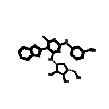 COc1cccc(Nc2nc(C)c(-c3nc4ccccc4s3)c(N[C@@H]3C[C@H](CO)[C@@H](O)[C@H]3O)n2)c1